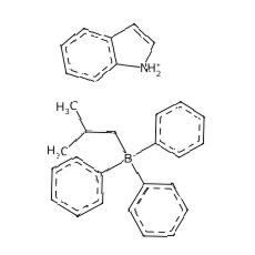 C1=Cc2ccccc2[NH2+]1.CC(C)C[B-](c1ccccc1)(c1ccccc1)c1ccccc1